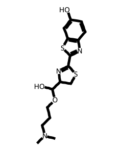 CN(C)CCCOC(O)C1CSC(c2nc3ccc(O)cc3s2)=N1